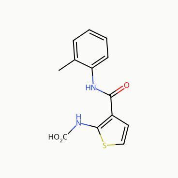 Cc1ccccc1NC(=O)c1ccsc1NC(=O)O